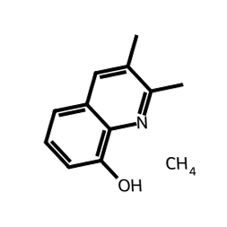 C.Cc1cc2cccc(O)c2nc1C